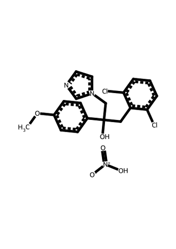 COc1ccc(C(O)(Cc2c(Cl)cccc2Cl)Cn2ccnc2)cc1.O=[N+]([O-])O